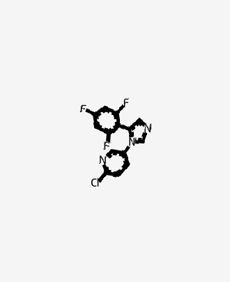 Fc1cc(F)c(-c2cncn2-c2ccc(Cl)nc2)c(F)c1